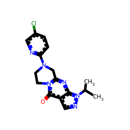 CC(C)n1ncc2c(=O)n3c(nc21)CN(c1ccc(Cl)cn1)CC3